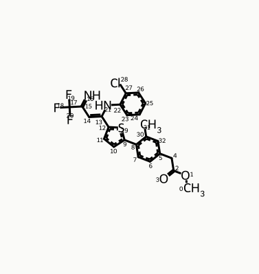 COC(=O)Cc1ccc(-c2ccc(/C(=C/C(=N)C(F)(F)F)Nc3ccccc3Cl)s2)c(C)c1